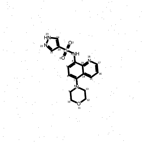 O=S(=O)(Nc1ccc(N2CCOCC2)c2cccnc12)c1cn[nH]c1